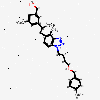 CCOC(=O)C(Cc1ccc2c(nnn2CCCCOCc2ccc(OC)cc2)c1C)c1cc(CO)cc(OC)c1